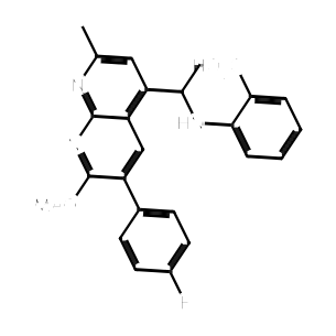 COc1nc2nc(C)cc(C(C)Nc3ccccc3C(=O)O)c2cc1-c1ccc(F)cc1